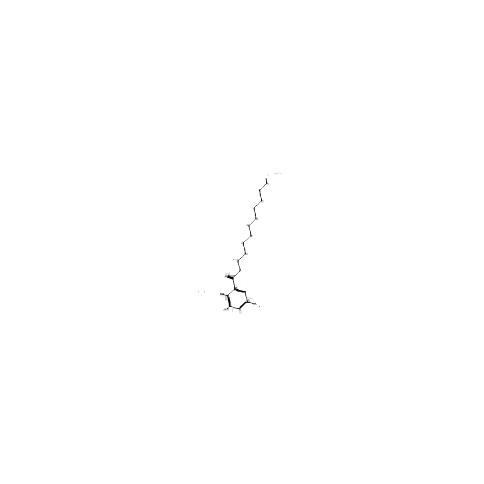 CCCCCCCCCCCCCCCCCCCCCC(=O)c1cc([N+](=O)[O-])cc(C=O)c1OC